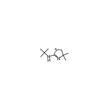 CC1(C)CSC(NC(C)(C)C)=N1